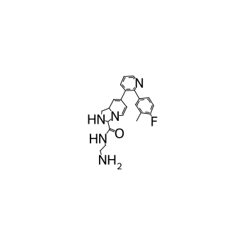 Cc1cc(-c2ncccc2C2=CC3CNC(C(=O)NCCN)N3C=C2)ccc1F